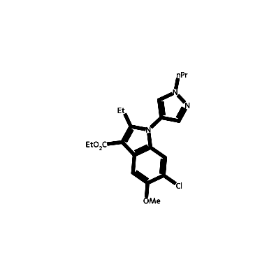 CCCn1cc(-n2c(CC)c(C(=O)OCC)c3cc(OC)c(Cl)cc32)cn1